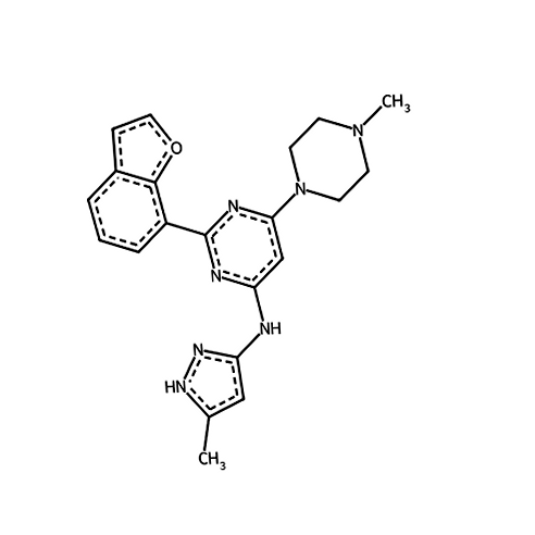 Cc1cc(Nc2cc(N3CCN(C)CC3)nc(-c3cccc4ccoc34)n2)n[nH]1